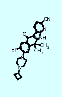 CCc1cc2c(cc1N1CCN(C3CCC3)CC1)C(C)(C)c1[nH]c3nc(C#N)ccc3c1C2=O